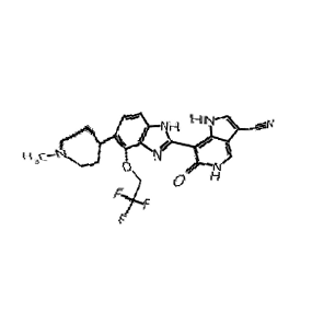 CN1CCC(c2ccc3[nH]c(-c4c(=O)[nH]cc5c(C#N)c[nH]c45)nc3c2OCC(F)(F)F)CC1